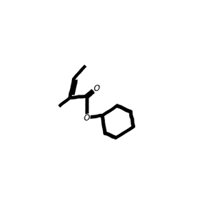 C/C=C(/C)C(=O)OC1CCCCC1